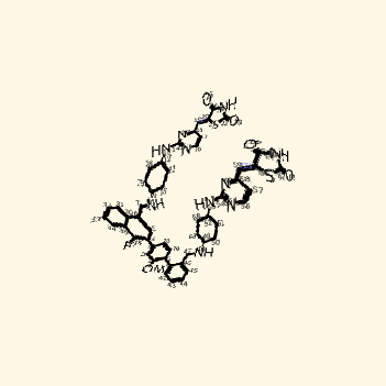 COc1cc(-c2cc(CN[C@H]3CC[C@H](Nc4nccc(/C=C5\SC(=O)NC5=O)n4)CC3)c3ccccc3c2F)ccc1-c1ccccc1CN[C@H]1CC[C@H](Nc2nccc(/C=C3\SC(=O)NC3=O)n2)CC1